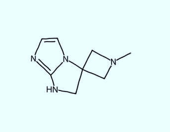 CN1CC2(CNc3nccn32)C1